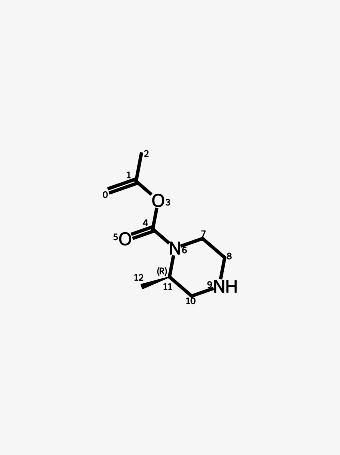 C=C(C)OC(=O)N1CCNC[C@H]1C